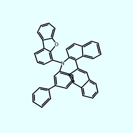 c1ccc(-c2cccc(N(c3ccc4ccccc4c3-c3ccc4ccccc4c3)c3cccc4c3oc3ccccc34)c2)cc1